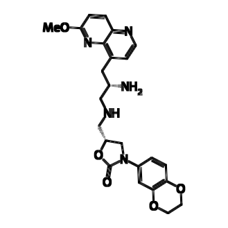 COc1ccc2nccc(C[C@H](N)CNC[C@@H]3CN(c4ccc5c(c4)OCCO5)C(=O)O3)c2n1